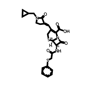 O=C(CSc1ccccc1)N[C@@H]1C(=O)N2C(C(=O)O)=C(C=C3CCN(CC4CC4)C3=O)CS[C@H]12